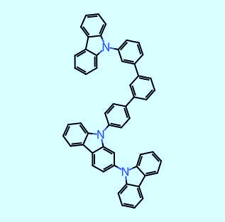 c1cc(-c2ccc(-n3c4ccccc4c4ccc(-n5c6ccccc6c6ccccc65)cc43)cc2)cc(-c2cccc(-n3c4ccccc4c4ccccc43)c2)c1